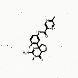 Cc1cnc(C(=O)Nc2ccc(F)c(C34COCC3C(=O)N(C)C(N)=N4)c2)cn1